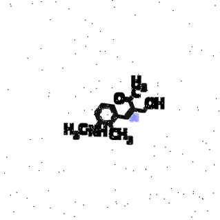 CNc1cccc(/C=C(/CO)C(C)=O)c1C